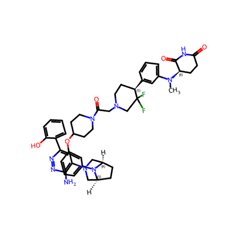 CN(c1cccc([C@@H]2CCN(CC(=O)N3CCC(Oc4cccc(N5[C@@H]6CC[C@H]5CN(c5cc(-c7ccccc7O)nnc5N)C6)c4)CC3)CC2(F)F)c1)[C@@H]1CCC(=O)NC1=O